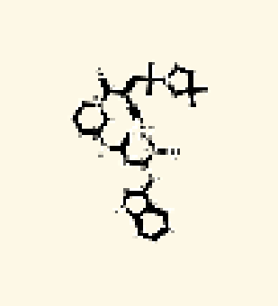 CC1(C)CCN(C(C)(C)C=C(C#N)C(=O)N2CCC[C@H](OC(=O)N[C@@H](Cc3coc4ccccc34)B(O)O)C2)C1